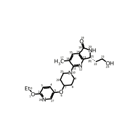 CCOc1ccc(OC2CCN(c3nc4c(cc3C)C(=O)N[C@@H]4CCO)CC2)cn1